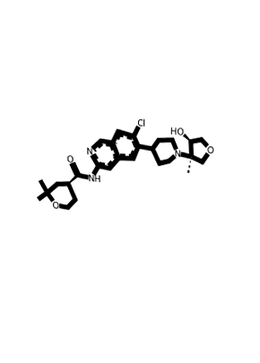 CC1(C)C[C@@H](C(=O)Nc2cc3cc(C4CCN([C@]5(C)COC[C@@H]5O)CC4)c(Cl)cc3cn2)CCO1